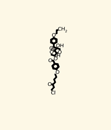 C=CCOc1ccc(C(=O)[C@@]2(O)CO[C@@H]3[C@@H](OC(=O)c4ccc(OCCCCC(=O)CCCl)cc4)CO[C@@H]32)cc1